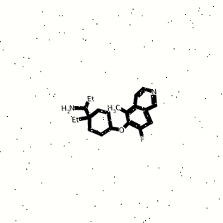 CCC(N)C1(CC)CCC(Oc2c(F)cc3cnccc3c2C)CC1